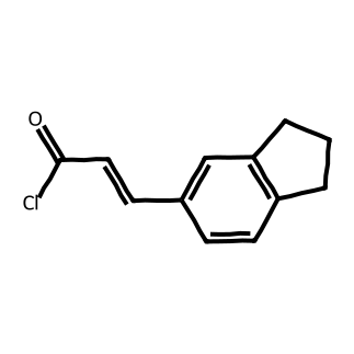 O=C(Cl)C=Cc1ccc2c(c1)CCC2